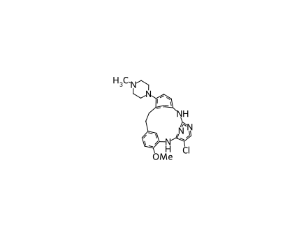 COc1ccc2cc1Nc1nc(ncc1Cl)Nc1ccc(N3CCN(C)CC3)c(c1)CC2